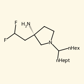 CCCCCCCC(CCCCCC)N1CC[C@](N)(CC(F)F)C1